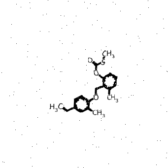 CCc1ccc(OCc2c(C)cccc2OC(=O)SC)c(C)c1